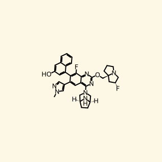 Cn1cc(-c2cc3c(N4C[C@H]5CC[C@@H](C4)N5)nc(OC[C@@]45CCCN4C[C@H](F)C5)nc3c(F)c2-c2cc(O)cc3ccccc23)cn1